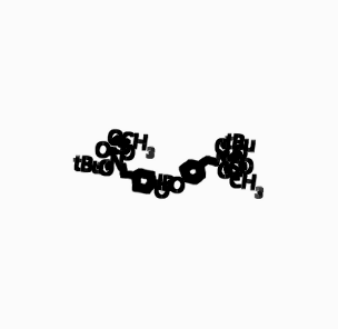 CC(C)(C)ON(CCc1ccc(OBOc2ccc(CCN(OC(C)(C)C)C(=O)S(C)(=O)=O)cc2)cc1)C(=O)S(C)(=O)=O